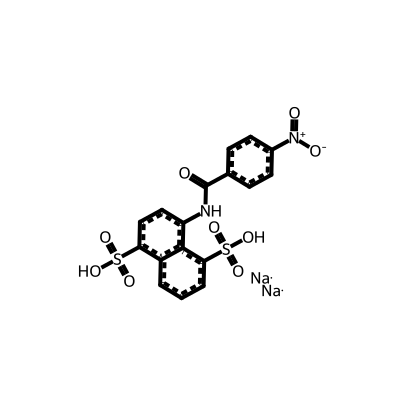 O=C(Nc1ccc(S(=O)(=O)O)c2cccc(S(=O)(=O)O)c12)c1ccc([N+](=O)[O-])cc1.[Na].[Na]